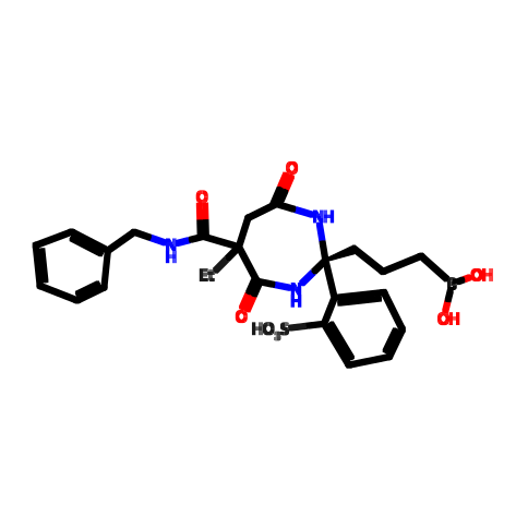 CCC1(C(=O)NCc2ccccc2)CC(=O)N[C@](CCCB(O)O)(c2ccccc2S(=O)(=O)O)NC1=O